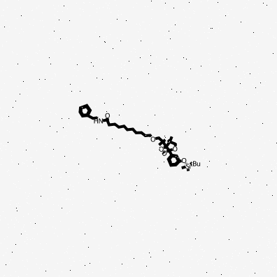 CC(C)(COCCCCCCCCCCC(=O)NCCc1ccccc1)C12OOC1(c1cccc(O[Si](C)(C)C(C)(C)C)c1)OCC2(C)C